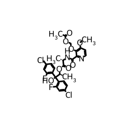 COc1ccnc(C(=O)N[C@@H](C)C(=O)O[C@@H](C)C(O)(c2ccc(Cl)cc2F)c2ccc(Cl)cc2F)c1OCOC(C)=O